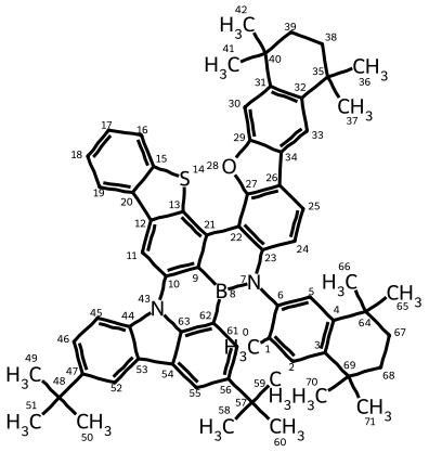 Cc1cc2c(cc1N1B3c4c(cc5c(sc6ccccc65)c4-c4c1ccc1c4oc4cc5c(cc41)C(C)(C)CCC5(C)C)-n1c4ccc(C(C)(C)C)cc4c4cc(C(C)(C)C)cc3c41)C(C)(C)CCC2(C)C